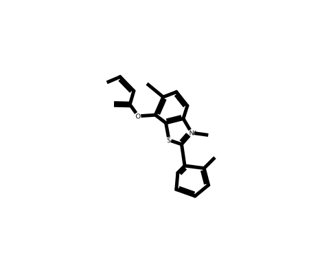 C=C(/C=C\C)Oc1c(C)ccc2c1sc(-c1ccccc1C)[n+]2C